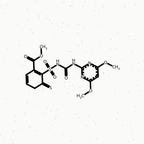 COC(=O)C1=C(S(=O)(=O)NC(=O)Nc2nc(OC)cc(OC)n2)C(=S)CC=C1